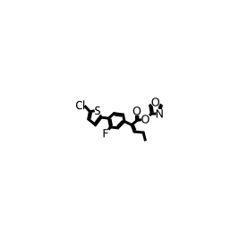 CCC=C(C(=O)Oc1cocn1)c1ccc(-c2ccc(Cl)s2)c(F)c1